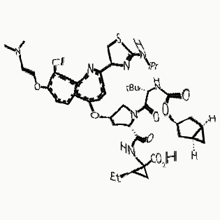 CC[C@@H]1CC1(NC(=O)[C@@H]1C[C@@H](Oc2cc(C3CSC(NC(C)C)=N3)nc3c(Cl)c(OCCN(C)C)ccc23)CN1C(=O)[C@@H](NC(=O)O[C@@H]1C[C@@H]2C[C@@H]2C1)C(C)(C)C)C(=O)O